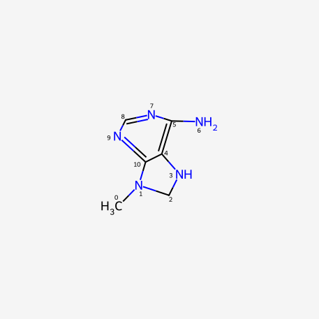 CN1CNc2c(N)ncnc21